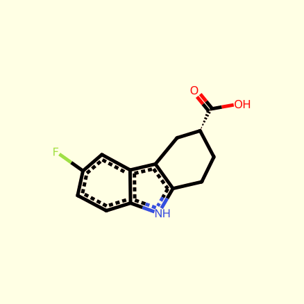 O=C(O)[C@@H]1CCc2[nH]c3ccc(F)cc3c2C1